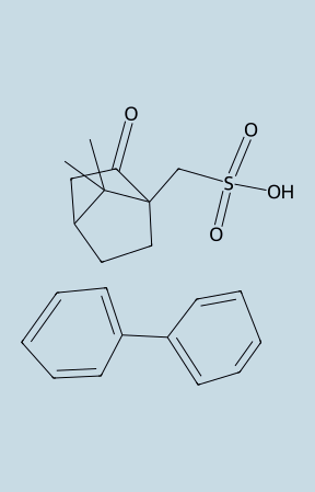 CC1(C)C2CCC1(CS(=O)(=O)O)C(=O)C2.c1ccc(-c2ccccc2)cc1